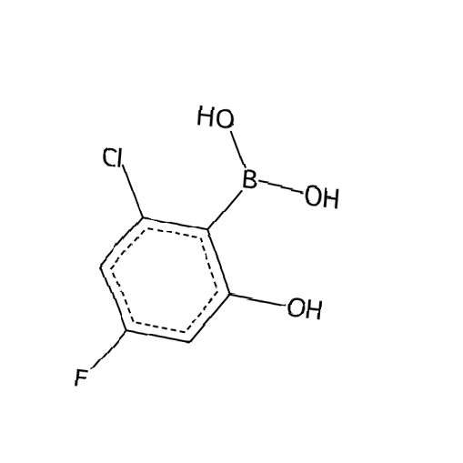 OB(O)c1c(O)cc(F)cc1Cl